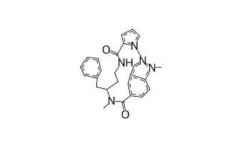 CN(C(=O)c1ccc2c(cnn2C)c1)C(CCNC(=O)c1cccn1C)Cc1ccccc1